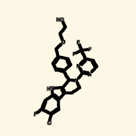 OCCOCc1ccc(C2c3[nH]c4cc(F)c(Cl)cc4c3CCN2c2nccc(C(F)(F)F)n2)cc1